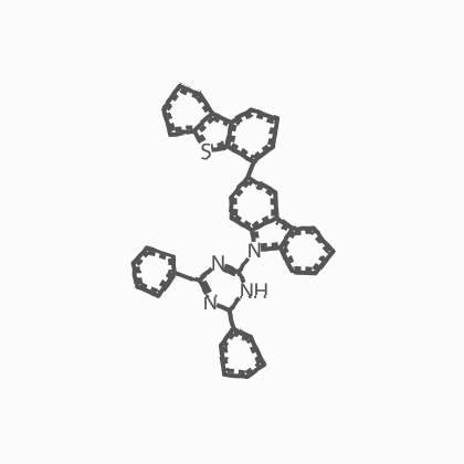 c1ccc(C2=NC(c3ccccc3)NC(n3c4ccccc4c4cc(-c5cccc6c5sc5ccccc56)ccc43)=N2)cc1